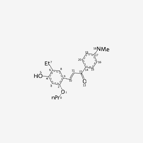 CCCOc1cc(O)c(CC)cc1C=CC(=O)c1ccc(NC)cc1